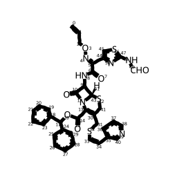 C=CCON=C(C(=O)NC1C(=O)N2C(C(=O)OC(c3ccccc3)c3ccccc3)=C(CS/C=C\c3cccnc3)CS[C@@H]12)c1csc(NC=O)n1